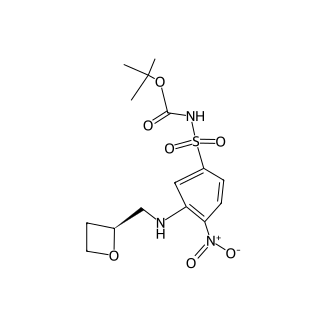 CC(C)(C)OC(=O)NS(=O)(=O)c1ccc([N+](=O)[O-])c(NC[C@@H]2CCO2)c1